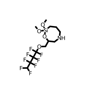 CO[Si]1(OC)CCCNCC(COC(F)(F)C(F)(F)C(F)(F)C(F)F)O1